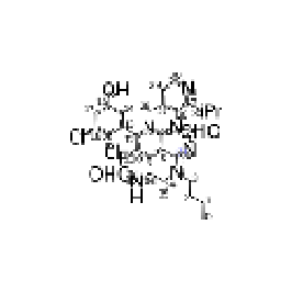 C=CCCN(/C(=N/C)c1cc(F)c(-c2cc(O)cc(Cl)c2Cl)nc1N(C=O)c1c(C)ccnc1C(C)C)C(C)CNC=O